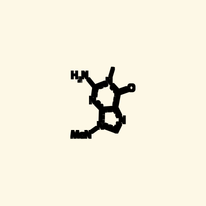 CNn1cnc2c(=O)n(C)c(N)nc21